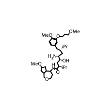 COCCCOc1cc(C[C@@H](C[C@H](N)[C@@H](O)C[C@H](C(=O)NC2CCOCC3CC(OC)CC32)C(C)C)C(C)C)ccc1OC